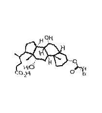 CCNC(=O)O[C@@H]1CC[C@@]2(C)[C@@H](C1)C[C@@H](O)[C@@H]1[C@@H]2C[C@H](O)[C@]2(C)[C@@H]([C@H](C)CCC(=O)O)CC[C@@H]12